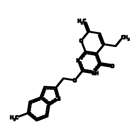 C=C1C=C(CC)c2c(nc(OCc3cc4cc(C)ccc4s3)[nH]c2=O)O1